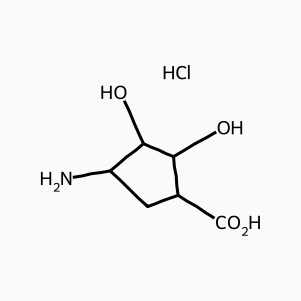 Cl.NC1CC(C(=O)O)C(O)C1O